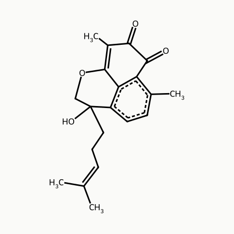 CC(C)=CCCC1(O)COC2=C(C)C(=O)C(=O)c3c(C)ccc1c32